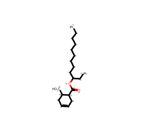 CC(C)CCCCCCCCC(CC(C)C)OC(=O)C1CC=CCC1C(=O)O